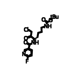 CC(C)(C)OC(=O)NCCCC[C@H](NC(=O)c1ccc(F)nc1)C(=O)CCl